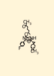 CCC(=O)CCCCC[C@H](NC(=O)[C@H]1CC12CCN(C)CC2)c1[nH]c(-c2ccc(F)cc2)nc1Cl